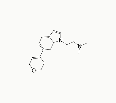 CN(C)CCN1C=CC2=CC=C(C3=CCOCC3)CC21